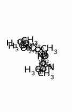 Cc1cc2c(cc1-c1noc(-c3ccc(OC(C)C)c(C#N)c3)n1)CCN(C(=O)OC(C)(C)C)CC2